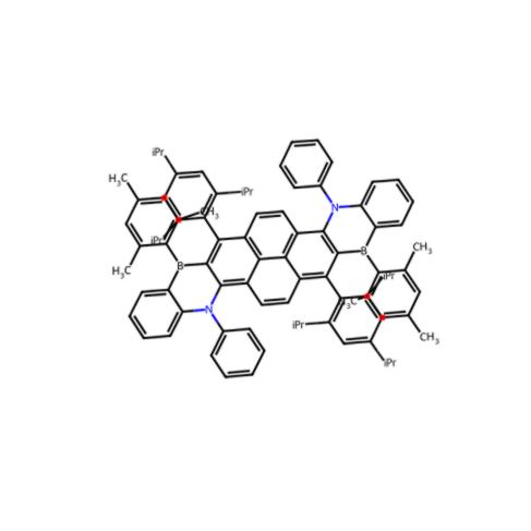 Cc1cc(C)c(B2c3ccccc3N(c3ccccc3)c3c2c(-c2c(C(C)C)cc(C(C)C)cc2C(C)C)c2ccc4c5c(c(-c6c(C(C)C)cc(C(C)C)cc6C(C)C)c6ccc3c2c64)B(c2c(C)cc(C)cc2C)c2ccccc2N5c2ccccc2)c(C)c1